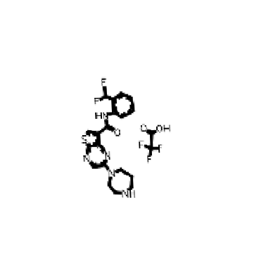 O=C(Nc1ccccc1C(F)F)c1csc2ncc(N3CCCNCC3)nc12.O=C(O)C(F)(F)F